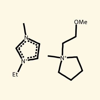 CC[n+]1ccn(C)c1.COCC[N+]1(C)CCCC1